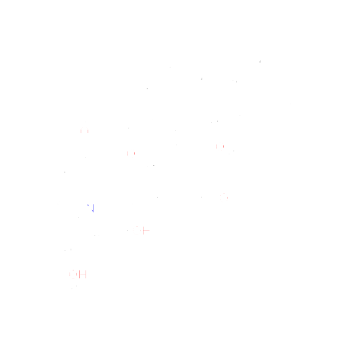 COc1cc(C(O)c2c(OCc3ccccc3)c(=O)ccn2CCO)ccc1OCc1ccccc1